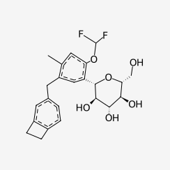 Cc1cc(OC(F)F)c([C@@H]2O[C@H](CO)[C@@H](O)[C@H](O)[C@H]2O)cc1Cc1ccc2c(c1)CC2